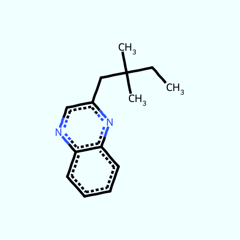 CCC(C)(C)Cc1cnc2ccccc2n1